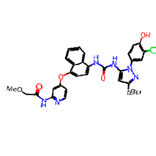 COCC(=O)Nc1cc(Oc2ccc(NC(=O)Nc3cc(C(C)(C)C)nn3-c3ccc(O)c(Cl)c3)c3ccccc23)ccn1